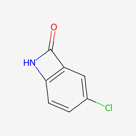 O=C1Nc2ccc(Cl)cc21